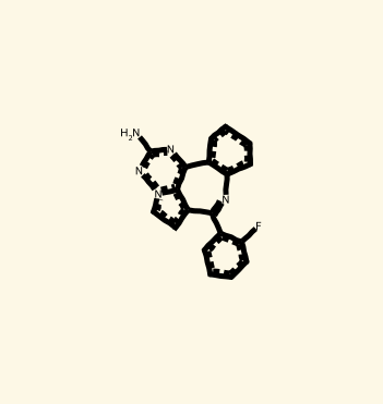 Nc1nc2c3c(ccn3n1)C(c1ccccc1F)=Nc1ccccc1-2